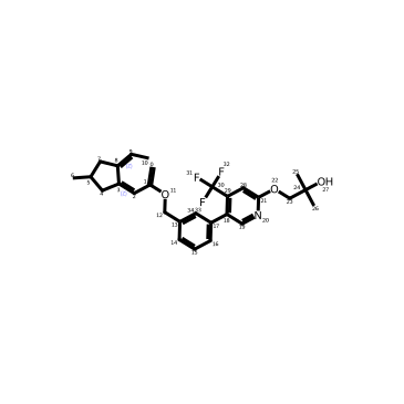 C=C(/C=C1/CC(C)C/C1=C/C)OCc1cccc(-c2cnc(OCC(C)(C)O)cc2C(F)(F)F)c1